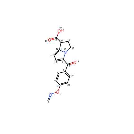 C=NOc1ccc(C(=O)c2ccc3n2CCC3C(=O)O)cc1